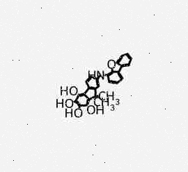 CC1(C)c2cc(Nc3cccc4c3oc3ccccc34)ccc2-c2c(O)c(O)c(O)c(O)c21